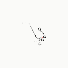 CCCCCCCCCCCCCCCCCCCCCCCCC#CC(=C=[N+]=[N-])C(CCCC)=C(c1cccc(CC)c1)c1cccc(CCCC)c1.c1ccc(C[CH2][Ni][CH2]Cc2ccccc2)cc1